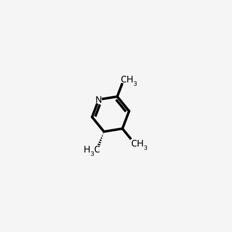 CC1=CC(C)[C@H](C)C=N1